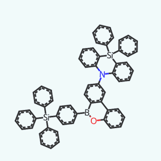 c1ccc([Si](c2ccccc2)(c2ccccc2)c2ccc(B3Oc4ccccc4-c4cc(N5c6ccccc6[Si](c6ccccc6)(c6ccccc6)c6ccccc65)ccc43)cc2)cc1